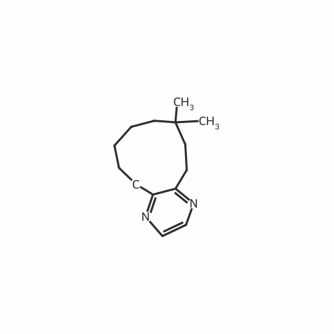 CC1(C)CCCCCc2nccnc2CC1